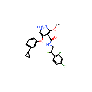 CC(C)O/C(N)=C(C(=O)NCC(F)c1ccc(Cl)cc1Cl)/C(=C\N)Oc1cccc(C2CC2)c1